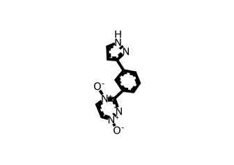 [O-][n+]1cc[n+]([O-])c(-c2cccc(-c3cc[nH]n3)c2)n1